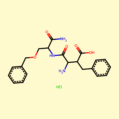 Cl.NC(=O)C(COCc1ccccc1)NC(=O)C(N)C(Cc1ccccc1)C(=O)O